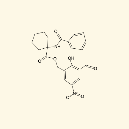 O=Cc1cc([N+](=O)[O-])cc(COC(=O)C2(NC(=O)c3ccccc3)CCCCC2)c1O